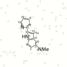 CNc1ccc2[nH]c(-c3ccccn3)c(C)c2c1